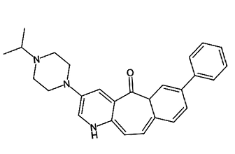 CC(C)N1CCN(C2=CNC3=CC=C4C=CC(c5ccccc5)=CC4C(=O)C3=C2)CC1